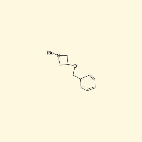 CC(C)(C)N1CC(OCc2ccccc2)C1